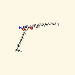 CCCCCCCCC=CCCCCCCCC(=O)OCCC(N)OC(=O)CCCCCCCC=CCCCCCCCC